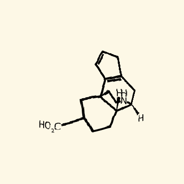 O=C(O)C1CC[C@H]2[C@H]3CC4=C(C=CC4)[C@@]2(CCN3)C1